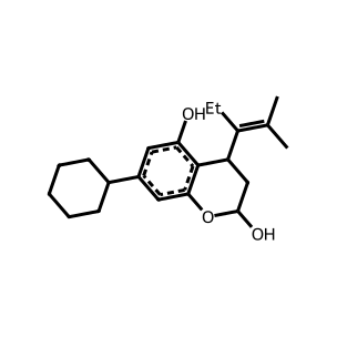 CCC(=C(C)C)C1CC(O)Oc2cc(C3CCCCC3)cc(O)c21